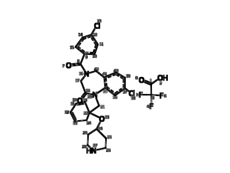 O=C(O)C(F)(F)F.O=C(c1ccc(Cl)cc1)N1CC(=O)N(CC2(OC3CCNCC3)C=CC=CC2)c2cc(Cl)ccc2C1